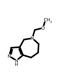 COCN1CCCc2[nH]n[c]c2C1